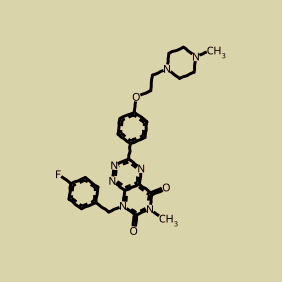 CN1CCN(CCOc2ccc(-c3nnc4c(n3)c(=O)n(C)c(=O)n4Cc3ccc(F)cc3)cc2)CC1